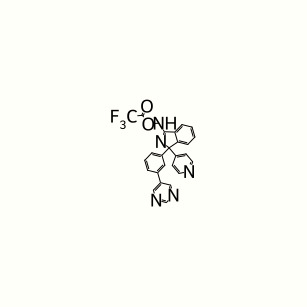 O=C(ONC1=NC(c2ccncc2)(c2cccc(-c3cncnc3)c2)c2ccccc21)C(F)(F)F